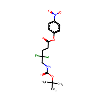 CC(C)(C)OC(=O)NCC(F)(F)CCC(=O)Oc1ccc([N+](=O)[O-])cc1